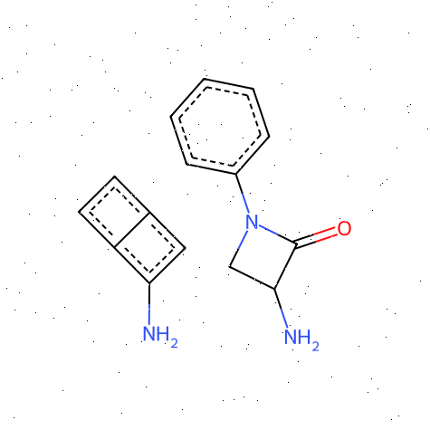 NC1CN(c2ccccc2)C1=O.Nc1cc2ccc1-2